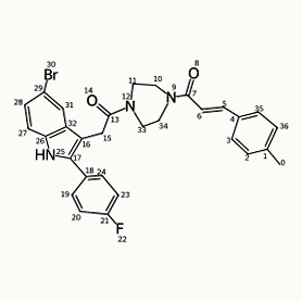 Cc1ccc(/C=C/C(=O)N2CCN(C(=O)Cc3c(-c4ccc(F)cc4)[nH]c4ccc(Br)cc34)CC2)cc1